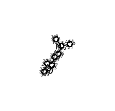 c1ccc(-c2cc(-c3ccccc3)nc(-c3ccc4cc(-c5ccc6c7c(cccc57)-c5ccccc5O6)ccc4c3)c2)cc1